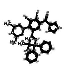 C[C@@H]1CN(c2c(CO[Si](c3ccccc3)(c3ccccc3)C(C)(C)C)cc(C(=O)c3cncs3)c(F)c2F)C[C@H](C)O1